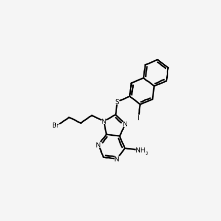 Nc1ncnc2c1nc(Sc1cc3ccccc3cc1I)n2CCCBr